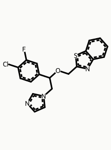 Fc1cc(C(Cn2ccnc2)OCc2nc3ccccc3s2)ccc1Cl